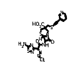 CCON=C(C(=O)NC1C(=O)N2CC(CSC#Cc3cccnc3)(C(=O)O)CS[C@H]12)c1nsc(N)n1